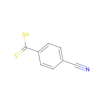 N#Cc1ccc(C(=S)S)cc1